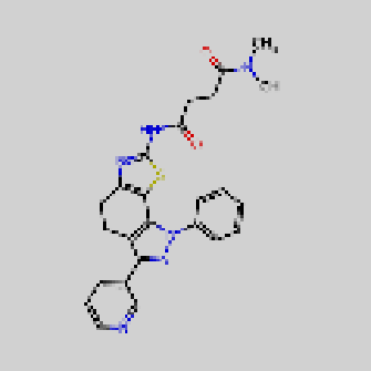 CN(C)C(=O)CCC(=O)Nc1nc2c(s1)-c1c(c(-c3cccnc3)nn1-c1ccccc1)CC2